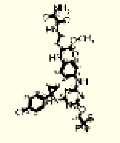 COC(=O)[C@H](CCNC(=O)C(N)=O)Nc1ccc(Nc2nc(NC3(c4ccc(Cl)cc4)CC3)nc(OCC(F)(F)F)n2)cc1